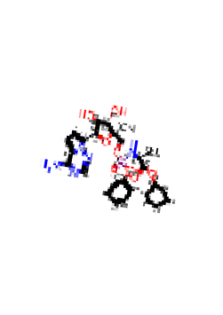 CC[C@H](N[P@](=O)(OC[C@@]1(C#N)O[C@@H](c2ccc3c(N)ncnn23)[C@H](O)[C@@H]1O)Oc1ccccc1)C(=O)OC1CCCCC1